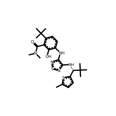 Cc1ccc([C@H](Nc2nsnc2Nc2ccc(C(C)(C)C)c(C(=O)N(C)C)c2O)C(C)(C)C)s1